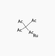 CC(=O)C(C(C)=O)(C(C)=O)C(C)=O.[Ru]